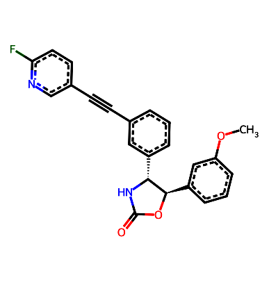 COc1cccc([C@H]2OC(=O)N[C@@H]2c2cccc(C#Cc3ccc(F)nc3)c2)c1